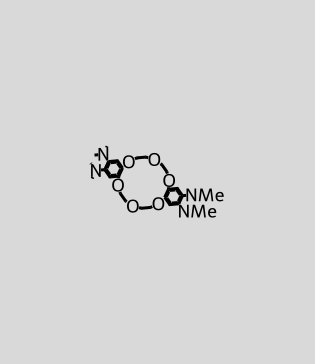 CNc1cc2c(cc1NC)OCCOCCOc1cc(N(C)C)c(N(C)C)cc1OCCOCCO2